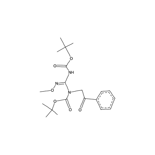 CO/N=C(/NC(=O)OC(C)(C)C)N(CC(=O)c1ccccc1)C(=O)OC(C)(C)C